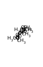 Cc1c(C(=O)N(C(C)C)C(C)C)oc2ccc(S(=O)(=O)N3CC(C)CC(C)C3)cc12